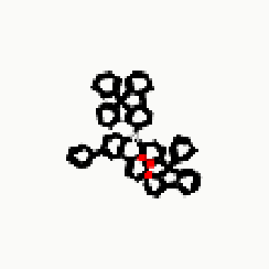 c1ccc(-c2ccc(N(c3ccc(C4(c5ccccc5)c5ccccc5-c5ccccc54)cc3)c3ccc4c(c3)C(c3ccccc3)(c3ccccc3)c3ccccc3-4)c(-c3ccccc3)c2)cc1